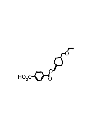 C=COCC1CCC(=COC(=O)c2ccc(C(=O)O)cc2)CC1